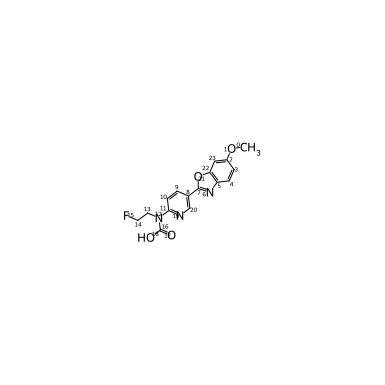 COc1ccc2nc(-c3ccc(N(CCF)C(=O)O)nc3)oc2c1